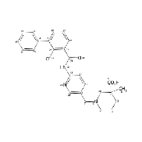 C[C@@]1(C(=O)O)CCCN(Cc2ccc(NC(=O)c3cccc(-c4ccccc4)c3Cl)nc2)C1